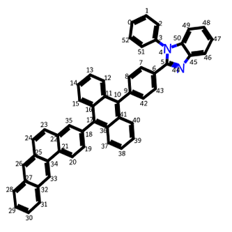 c1ccc(-n2c(-c3ccc(-c4c5ccccc5c(-c5ccc6c(ccc7cc8ccccc8cc76)c5)c5ccccc45)cc3)nc3ccccc32)cc1